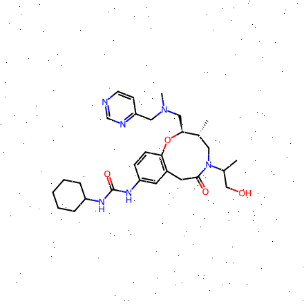 CC(CO)N1C[C@@H](C)[C@H](CN(C)Cc2ccncn2)Oc2ccc(NC(=O)NC3CCCCC3)cc2CC1=O